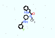 O=C(c1cc2ccccc2[nH]1)N(CC(F)(F)F)[C@H]1CCCC(NCc2cccc(F)c2)C1